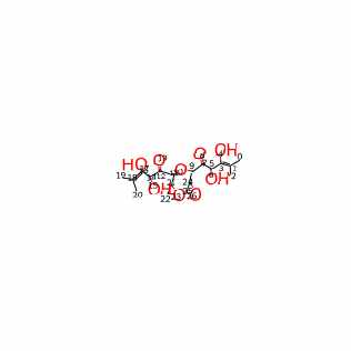 CC(C)=C(O)C(O)C(=O)C(OC(C(=O)C(O)C(O)=C(C)C)C1CO1)C1CO1